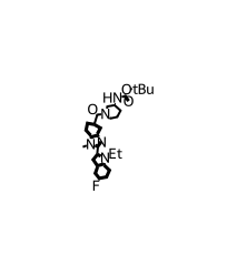 CCn1c(-c2nc3cc(C(=O)N4CCC[C@@H](NC(=O)OC(C)(C)C)C4)ccc3n2C)cc2cc(F)ccc21